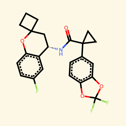 O=C(N[C@H]1CC2(CCC2)Oc2ccc(F)cc21)C1(c2ccc3c(c2)OC(F)(F)O3)CC1